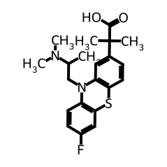 CC(CN1c2ccc(F)cc2Sc2ccc(C(C)(C)C(=O)O)cc21)N(C)C